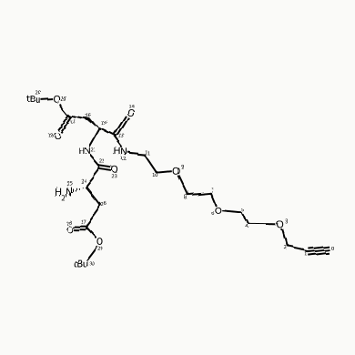 C#CCOCCOCCOCCNC(=O)[C@H](CC(=O)OC(C)(C)C)NC(=O)[C@@H](N)CC(=O)OC(C)(C)C